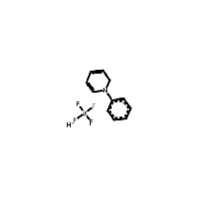 C1=CCN(c2ccccc2)C=C1.F[B-](F)(F)F.[H+]